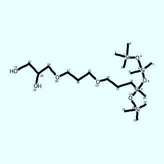 C[Si](C)(C)O[Si](C)(C)O[Si](C)(CCCOCCCOCC(O)CO)O[Si](C)(C)C